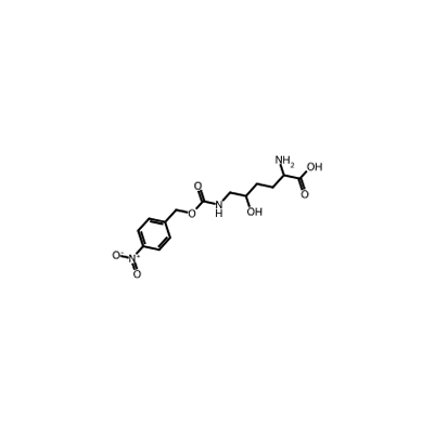 NC(CCC(O)CNC(=O)OCc1ccc([N+](=O)[O-])cc1)C(=O)O